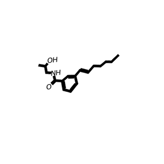 CCCCCC=Cc1cccc(C(=O)NCC(C)O)c1